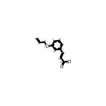 C=CCOc1cccc(/C=C/C(=O)Cl)c1